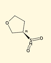 O=[SH](=O)[C@@H]1CCOC1